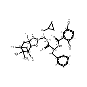 CC1(C)[C@H]2C[C@@H]1C1OB([C@H](CC3CC3)NC(=O)[C@H](Cc3ccccc3)NC(=O)c3cc(Cl)ccc3Cl)O[C@@H]1C2